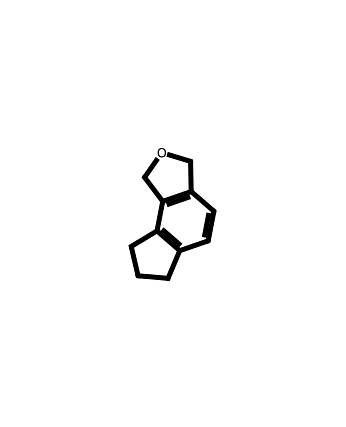 c1cc2c(c3c1CCC3)COC2